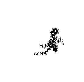 CC(=O)NCCCC[C@H](NC(=O)[C@@H](Cc1cccs1)N(C)C(=O)[C@H](N)Cc1ccc2ccccc2c1)C(N)=O